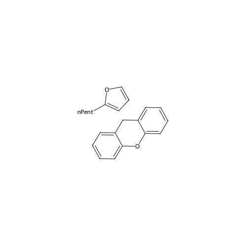 CCCCCc1ccco1.c1ccc2c(c1)Cc1ccccc1O2